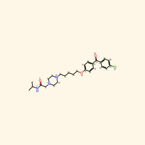 CC(C)NC(=O)CN1CCN(CCCCCOc2ccc(C(=O)c3ccc(Cl)cc3)cc2)CC1